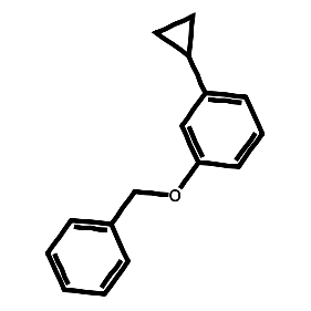 c1ccc(COc2cccc(C3CC3)c2)cc1